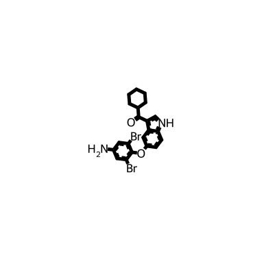 Nc1cc(Br)c(Oc2ccc3[nH]cc(C(=O)C4CCCCC4)c3c2)c(Br)c1